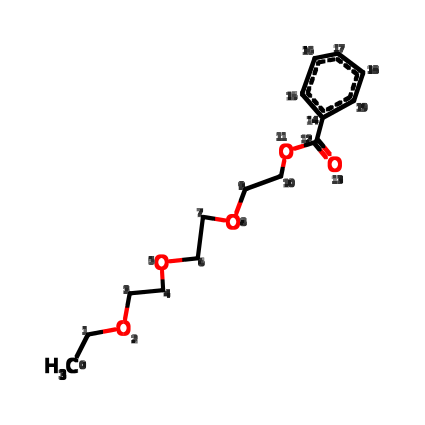 CCOCCOCCOCCOC(=O)c1ccccc1